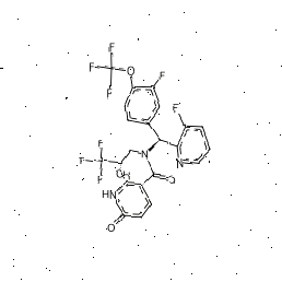 O=C(c1ccc(=O)[nH]c1)N(C[C@H](O)C(F)(F)F)[C@@H](c1ccc(OC(F)(F)F)c(F)c1)c1ncccc1F